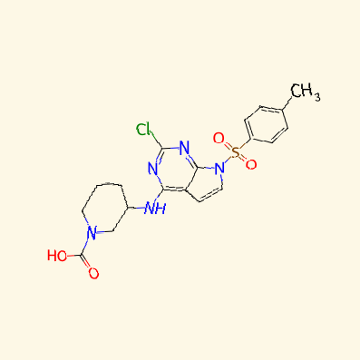 Cc1ccc(S(=O)(=O)n2ccc3c(NC4CCCN(C(=O)O)C4)nc(Cl)nc32)cc1